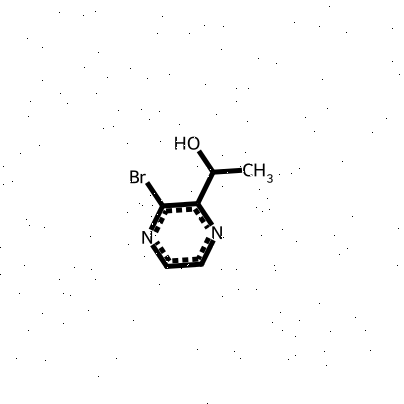 CC(O)c1nccnc1Br